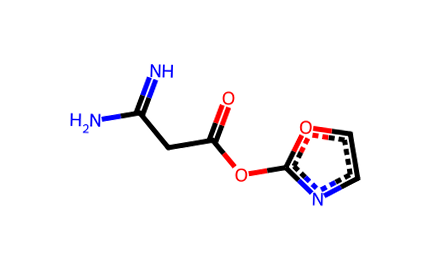 N=C(N)CC(=O)Oc1ncco1